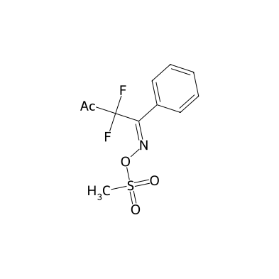 CC(=O)C(F)(F)C(=NOS(C)(=O)=O)c1ccccc1